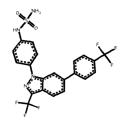 NS(=O)(=O)Nc1ccc(-n2nc(C(F)(F)F)c3ccc(-c4ccc(C(F)(F)F)cc4)cc32)cc1